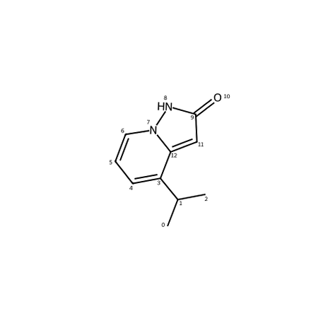 CC(C)c1cccn2[nH]c(=O)cc12